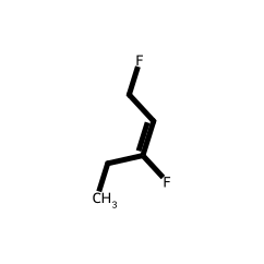 CC/C(F)=C\CF